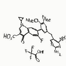 COc1cc(Cc2cnc(N)nc2N)cc(-c2cc3c(cc2F)c(=O)c(C(=O)O)cn3C2CC2)c1OC.O=C(O)C(F)(F)F